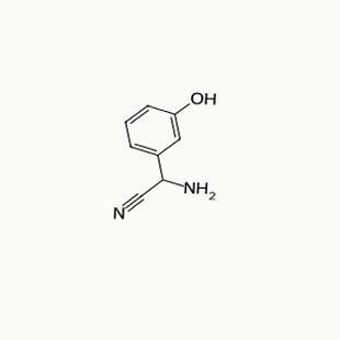 N#CC(N)c1cccc(O)c1